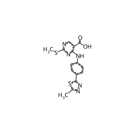 CSc1ncc(C(=O)O)c(Nc2ccc(-c3nnc(C)s3)cc2)n1